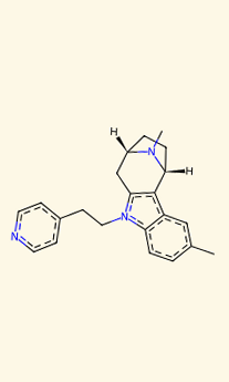 Cc1ccc2c(c1)c1c(n2CCc2ccncc2)C[C@@H]2CC[C@H]1N2C